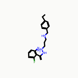 C=C(NNCCCNCc1ccc(CC)cc1)c1c(N)cccc1F